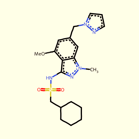 COc1cc(Cn2cccn2)cc2c1c(NS(=O)(=O)CC1CCCCC1)nn2C